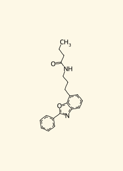 CCCC(=O)NCCCc1cccc2nc(-c3ccccc3)oc12